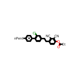 CCCCCC12CCC(c3ccc(CCc4ccc(OC(=O)CC)c(C#N)c4C#N)cc3Cl)(CC1)CC2